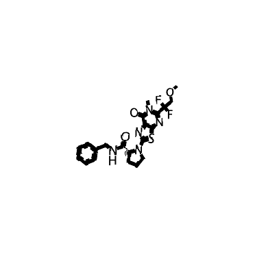 COCC(F)(F)c1nc2sc(N3CCC[C@@H]3C(=O)NCc3ccccc3)nc2c(=O)n1C